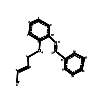 BrC=CCOc1ccccc1N=Nc1ccccc1